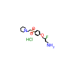 Cl.NCC=C(F)COc1ccc(S(=O)(=O)CCN2CCCCC2)cc1